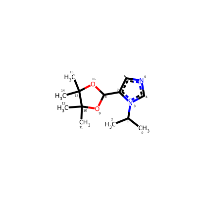 CC(C)n1cncc1C1OC(C)(C)C(C)(C)O1